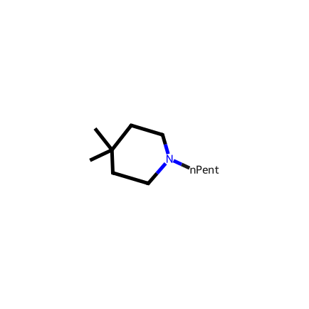 CCCCCN1CCC(C)(C)CC1